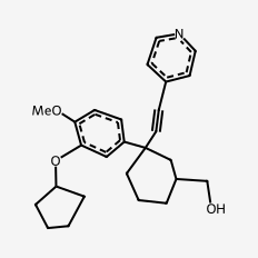 COc1ccc(C2(C#Cc3ccncc3)CCCC(CO)C2)cc1OC1CCCC1